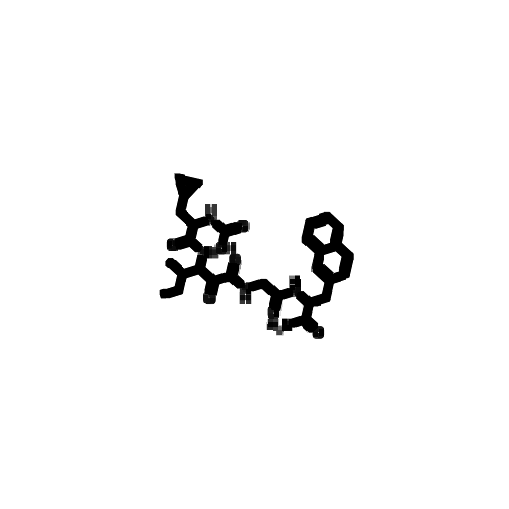 CCC(C)C(NC(=O)C(CC1CC1)NC(=O)O)C(=O)C(=O)NCC(=O)NC(Cc1ccc2ccccc2c1)C(N)=O